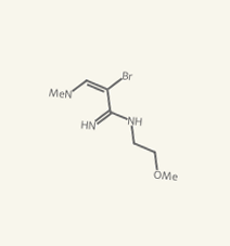 CN/C=C(/Br)C(=N)NCCOC